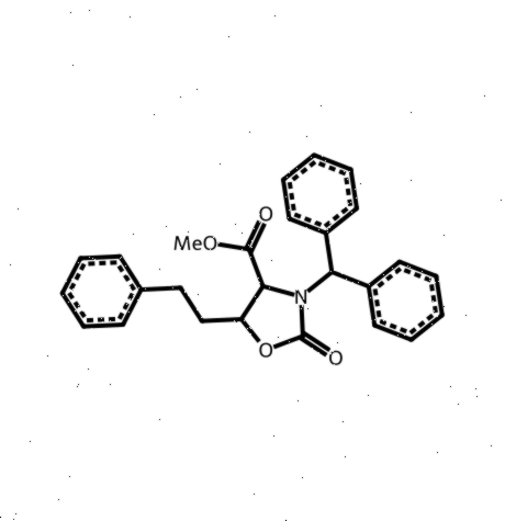 COC(=O)C1C(CCc2ccccc2)OC(=O)N1C(c1ccccc1)c1ccccc1